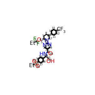 CCC(F)(F)OC[C@@H]1CC[C@H](c2ccc(C(F)(F)F)cc2)CN1c1ncc(C(=O)N[C@@H](CO)c2ccc(S(=O)(=O)CC)cc2)cn1